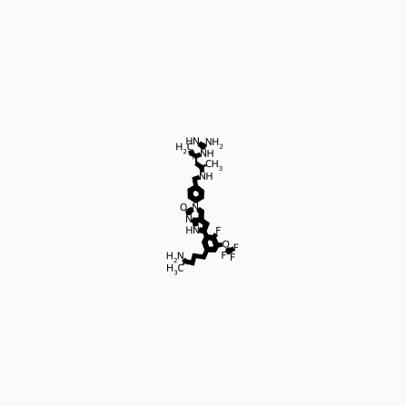 C=C[C@H](C[C@@H](C)NCc1ccc(-n2cc3cc(-c4cc(CCC[C@H](C)N)cc(OC(F)(F)F)c4F)[nH]c3nc2=O)cc1)NC(=N)N